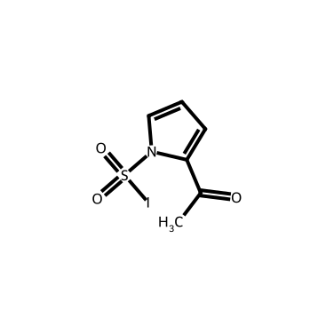 CC(=O)c1cccn1S(=O)(=O)I